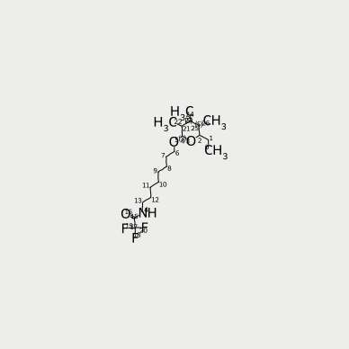 CCC1O[C@H](OCCCCCCCCNC(=O)C(F)(F)F)C(C)[C@@H](C)[C@@H]1C